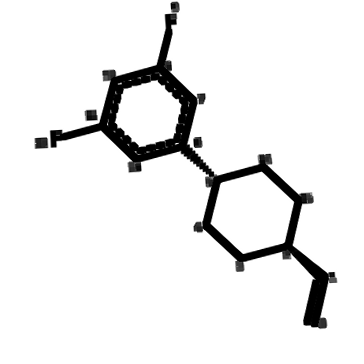 C=C[C@H]1CC[C@H](c2cc(F)cc(F)c2)CC1